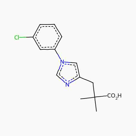 CC(C)(Cc1cn(-c2cccc(Cl)c2)cn1)C(=O)O